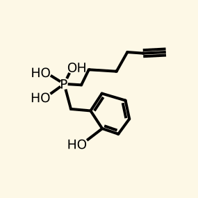 C#CCCCCP(O)(O)(O)Cc1ccccc1O